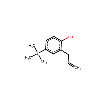 C=CCc1cc([Si](C)(C)C)ccc1O